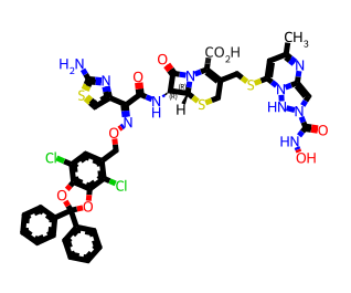 CC1=NC2=CN(C(=O)NO)NN2C(SCC2=C(C(=O)O)N3C(=O)[C@@H](NC(=O)C(=NOCc4cc(Cl)c5c(c4Cl)OC(c4ccccc4)(c4ccccc4)O5)c4csc(N)n4)[C@H]3SC2)=C1